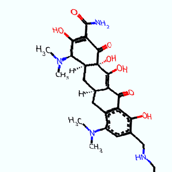 CC(C)CNCc1cc(N(C)C)c2c(c1O)C(=O)C1=C(O)[C@]3(O)C(=O)C(C(N)=O)=C(O)[C@H](N(C)C)[C@@H]3C[C@@H]1C2